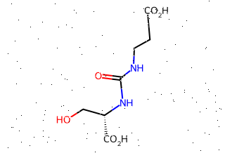 O=C(O)CCNC(=O)N[C@@H](CO)C(=O)O